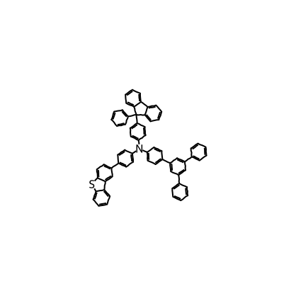 c1ccc(-c2cc(-c3ccccc3)cc(-c3ccc(N(c4ccc(-c5ccc6sc7ccccc7c6c5)cc4)c4ccc(C5(c6ccccc6)c6ccccc6-c6ccccc65)cc4)cc3)c2)cc1